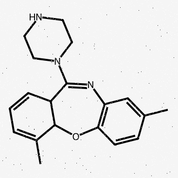 CC1=CC=CC2C(N3CCNCC3)=Nc3cc(C)ccc3OC12